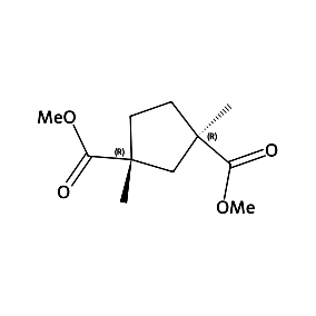 COC(=O)[C@]1(C)CC[C@@](C)(C(=O)OC)C1